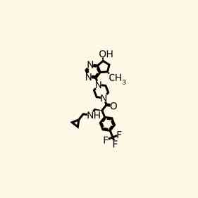 C[C@@H]1C[C@H](O)c2ncnc(N3CCN(C(=O)[C@H](CNCC4CC4)c4ccc(C(F)(F)F)cc4)CC3)c21